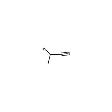 CC(S)C#N